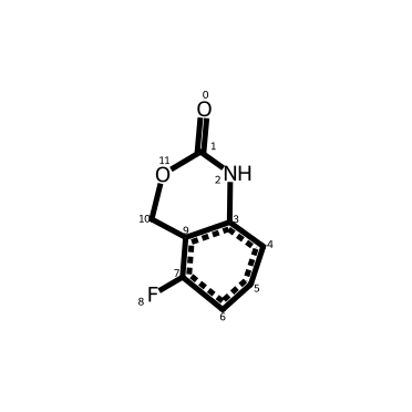 O=C1Nc2cccc(F)c2CO1